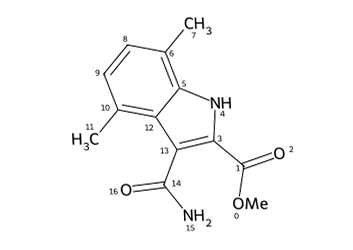 COC(=O)c1[nH]c2c(C)ccc(C)c2c1C(N)=O